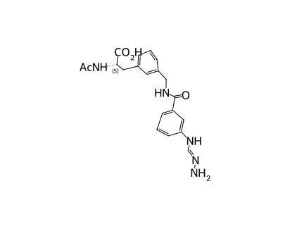 CC(=O)N[C@@H](Cc1cccc(CNC(=O)c2cccc(NC=NN)c2)c1)C(=O)O